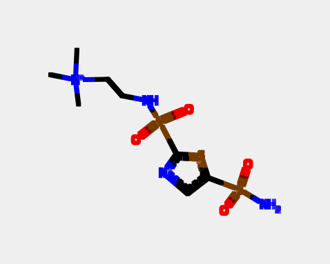 C[N+](C)(C)CCNS(=O)(=O)c1ncc(S(N)(=O)=O)s1